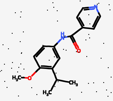 COc1ccc(NC(=O)c2ccncc2)cc1C(C)C